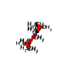 Cc1ccc(N(c2ccc([Si](C)(C)C)cc2)c2ccc3c(c2)C(C)(C)c2cc(/C=C/c4ccc5c(c4)C(C)(C)c4cc(/C=C/c6ccc7c(c6)C(C)(C)c6cc(N(c8ccc(C)cc8)c8ccc([Si](C)(C)C)cc8)ccc6-7)ccc4-5)ccc2-3)cc1